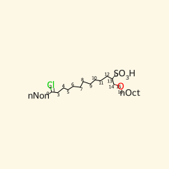 CCCCCCCCCC(Cl)CCCCCCCCCCC(COCCCCCCCC)S(=O)(=O)O